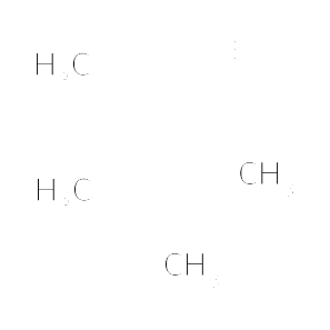 [C]C(C)C(C)(C)C